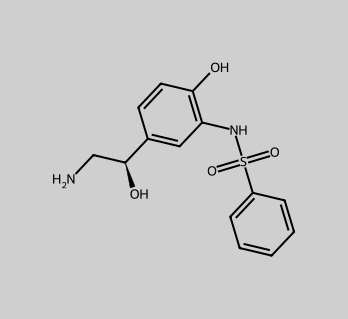 NC[C@H](O)c1ccc(O)c(NS(=O)(=O)c2ccccc2)c1